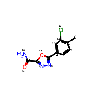 Cc1ccc(-c2nnc(C(N)=O)o2)cc1Cl